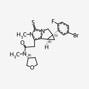 CN(C(=O)Cc1c2n(c(=S)n1C)C[C@@]1(c3cc(Br)ccc3F)C[C@@H]21)[C@@H]1CCOC1